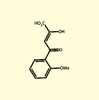 COc1ccccc1C(=O)/C=C(\O)C(=O)O